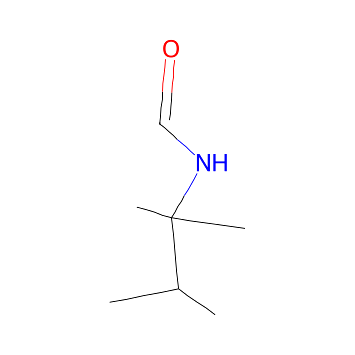 CC(C)C(C)(C)NC=O